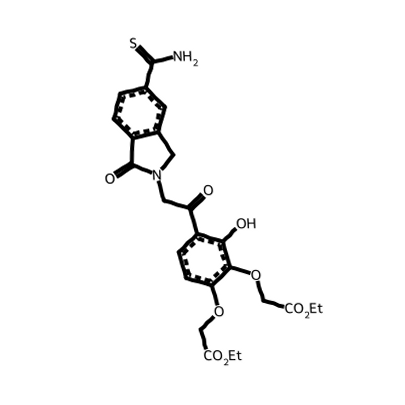 CCOC(=O)COc1ccc(C(=O)CN2Cc3cc(C(N)=S)ccc3C2=O)c(O)c1OCC(=O)OCC